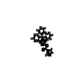 Cc1nccn1C(=O)Oc1nnn(C(c2ccccc2)(c2ccccc2)c2ccccc2)n1